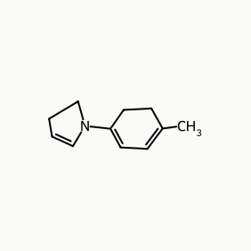 CC1=CC=C(N2C=CCC2)CC1